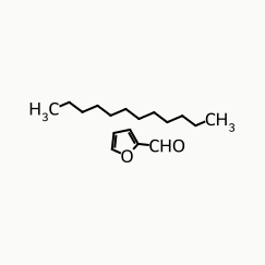 CCCCCCCCCCCC.O=Cc1ccco1